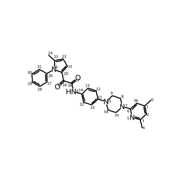 Cc1cc(C)nc(N2CCN(c3ccc(NC(=O)C(=O)c4ccc(C)n4-c4ccccc4)cc3)CC2)c1